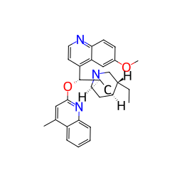 CC[C@H]1CN2CC[C@H]1C[C@H]2[C@H](Oc1cc(C)c2ccccc2n1)c1ccnc2ccc(OC)cc12